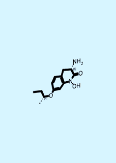 CC[C@@H](C)Oc1ccc2c(c1)N(O)C(=O)[C@@H](N)C2